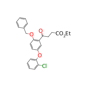 CCOC(=O)CCC(=O)c1cc(Oc2ccccc2Cl)ccc1OCc1ccccc1